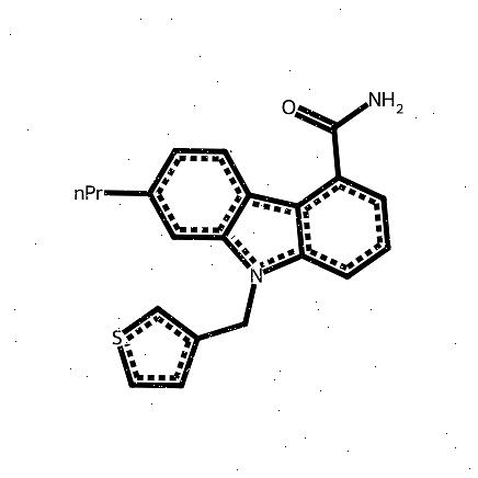 CCCc1c[c]c2c3c(C(N)=O)cccc3n(Cc3ccsc3)c2c1